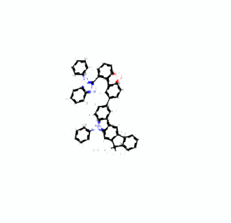 CC1(C)c2ccccc2-c2cc3c4cc(-c5ccc6oc7cccc(-c8nc9ccccc9n8-c8ccccc8)c7c6c5)ccc4n(-c4ccccc4)c3cc21